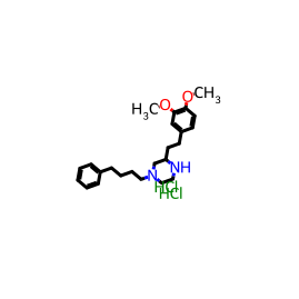 COc1ccc(CCC2CN(CCCCc3ccccc3)CCN2)cc1OC.Cl.Cl